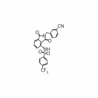 N#Cc1cccc(CN2C(=O)c3cccc(NS(=O)(=O)c4ccc(C(F)(F)F)cc4)c3C2=O)c1